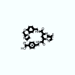 O=C(NCc1ccc2c(c1)-n1ccnc1CO2)c1cc(C(=O)NCC23CCC(C(=O)O)(CC2)CC3)n2ncc(F)c2n1